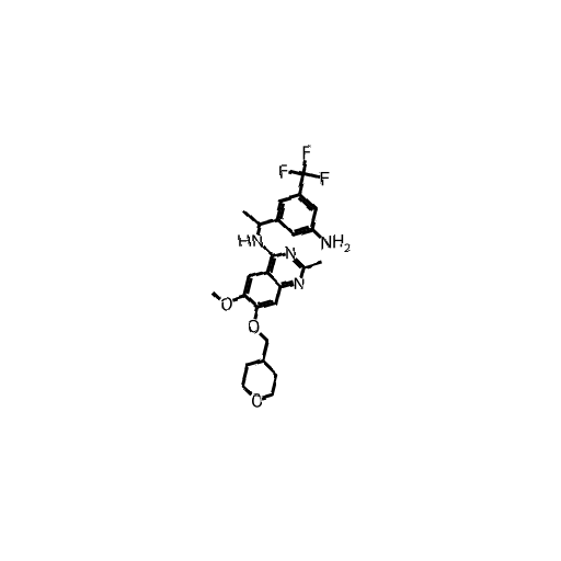 COc1cc2c(NC(C)c3cc(N)cc(C(F)(F)F)c3)nc(C)nc2cc1OCC1CCOCC1